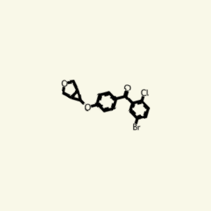 O=C(c1ccc(OC2C3COCC32)cc1)c1cc(Br)ccc1Cl